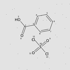 O=C(O)c1ccccc1.O=S(=O)(Cl)Cl